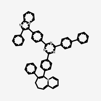 C1=CC2=CCCC(c3ccccc3)=C(c3ccc(-c4nc(-c5ccc(-c6ccccc6)cc5)nc(-c5ccc(-c6c(-c7ccccc7)nc7ccccn67)cc5)n4)cc3)N2C=C1